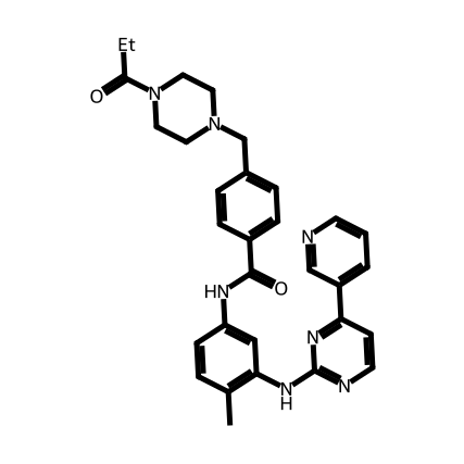 CCC(=O)N1CCN(Cc2ccc(C(=O)Nc3ccc(C)c(Nc4nccc(-c5cccnc5)n4)c3)cc2)CC1